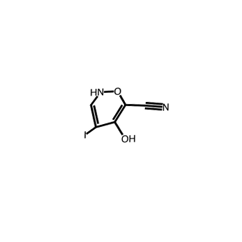 N#CC1=C(O)C(I)=CNO1